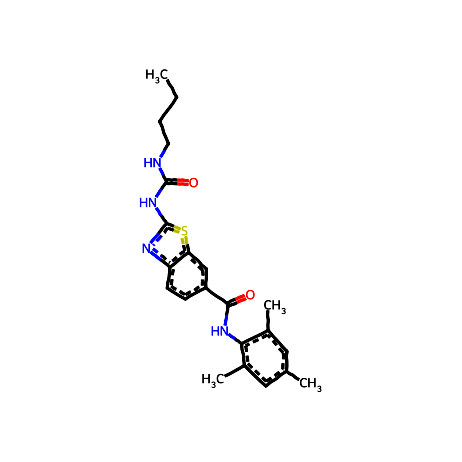 CCCCNC(=O)Nc1nc2ccc(C(=O)Nc3c(C)cc(C)cc3C)cc2s1